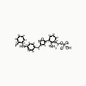 Nc1c(-c2cc(Cc3ccc(Nc4ccccc4F)nc3)no2)ccc[n+]1COP(=O)([O-])O